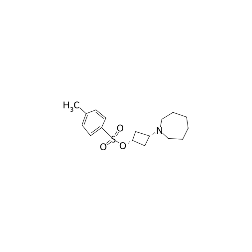 Cc1ccc(S(=O)(=O)O[C@H]2C[C@@H](N3CCCCCC3)C2)cc1